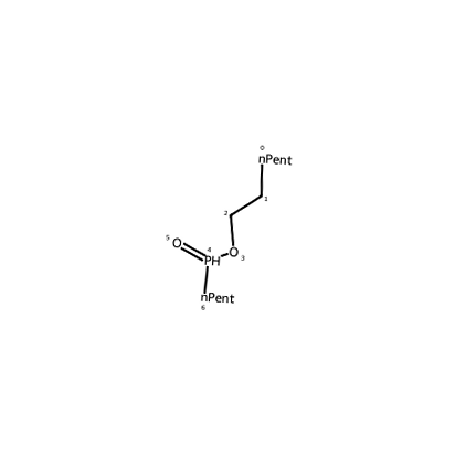 CCCCCCCO[PH](=O)CCCCC